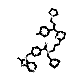 Cc1ccc(/C(=C\CN2CCCC2)c2cccc(/C=C/CN(Cc3ccccc3)C(=O)c3ccc(Cn4c(C)nc5cnccc54)cc3)n2)cc1